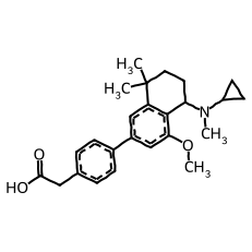 COc1cc(-c2ccc(CC(=O)O)cc2)cc2c1C(N(C)C1CC1)CCC2(C)C